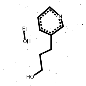 CCO.OCCCc1cccnc1